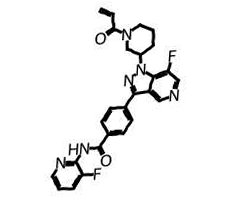 C=CC(=O)N1CCCC(n2nc(-c3ccc(C(=O)Nc4ncccc4F)cc3)c3cncc(F)c32)C1